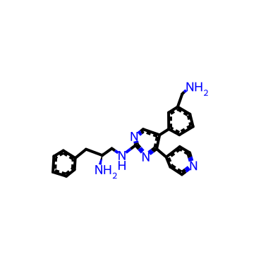 NCc1cccc(-c2cnc(NC[C@@H](N)Cc3ccccc3)nc2-c2ccncc2)c1